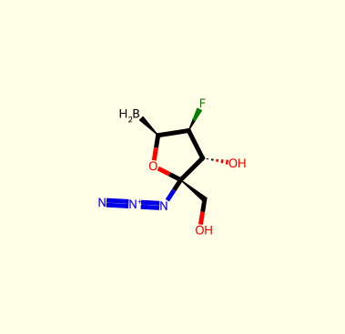 B[C@@H]1O[C@@](CO)(N=[N+]=[N-])[C@@H](O)[C@@H]1F